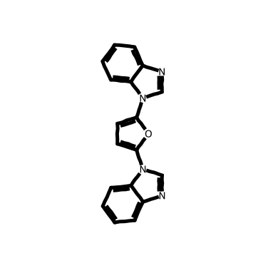 c1ccc2c(c1)ncn2-c1ccc(-n2cnc3ccccc32)o1